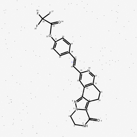 O=C1NCCn2nc3c(c21)CCc1cnc(/C=C/c2ccc(OC(=O)C(F)(F)F)cc2)cc1-3